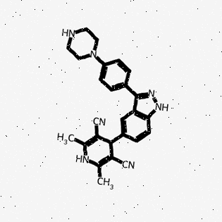 CC1=C(C#N)C(c2ccc3[nH]nc(-c4ccc(N5CCNCC5)cc4)c3c2)C(C#N)=C(C)N1